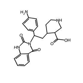 Nc1ccc(C(CC2CCNCC2C(=O)O)n2c(=O)[nH]c3ccccc3c2=O)cc1